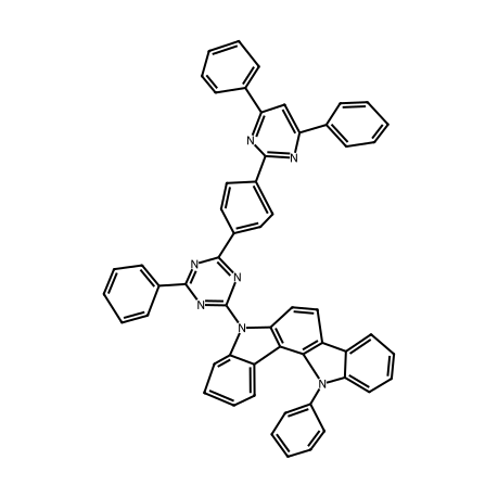 c1ccc(-c2cc(-c3ccccc3)nc(-c3ccc(-c4nc(-c5ccccc5)nc(-n5c6ccccc6c6c5ccc5c7ccccc7n(-c7ccccc7)c56)n4)cc3)n2)cc1